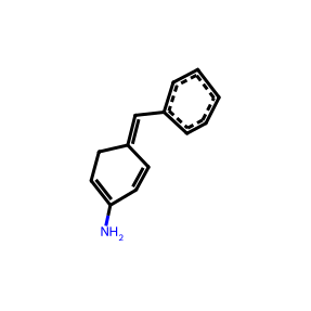 NC1=CCC(=Cc2ccccc2)C=C1